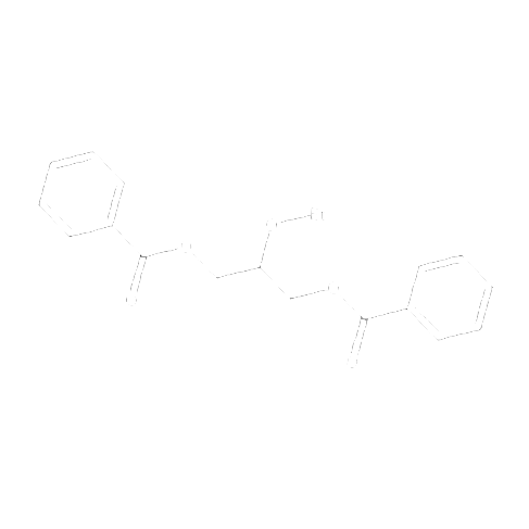 CCOC(COC(=O)c1ccccc1)COC(=O)c1ccccc1